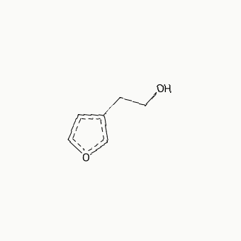 OCCc1ccoc1